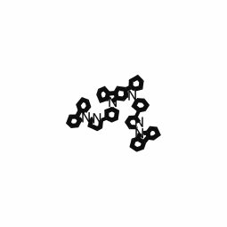 c1cc(-c2cccc(-n3c4ccccc4c4ccccc43)n2)cc(-n2c3ccccc3c3cc4c5ccccc5n(-c5cccc(-c6cccc(-n7c8ccccc8c8ccccc87)n6)c5)c4cc32)c1